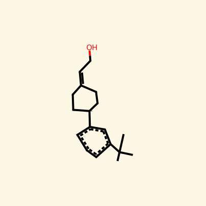 CC(C)(C)c1cccc([C]2CCC(=CCO)CC2)c1